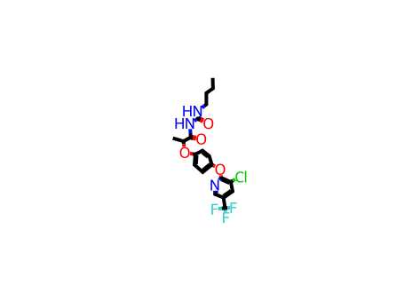 CCCCNC(=O)NC(=O)C(C)Oc1ccc(Oc2ncc(C(F)(F)F)cc2Cl)cc1